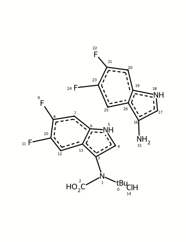 CC(C)(C)N(C(=O)O)c1c[nH]c2cc(F)c(F)cc12.Cl.Nc1c[nH]c2cc(F)c(F)cc12